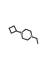 CCN1CCN(C2CCC2)CC1